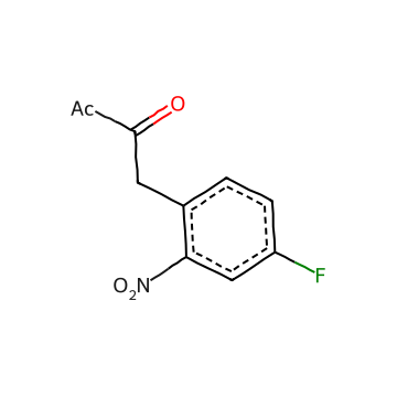 CC(=O)C(=O)Cc1ccc(F)cc1[N+](=O)[O-]